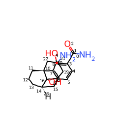 NC(=O)c1ccc2c(c1O)[C@]13CCC[C@H](C2)[C@]1(O)CCC(N)C3